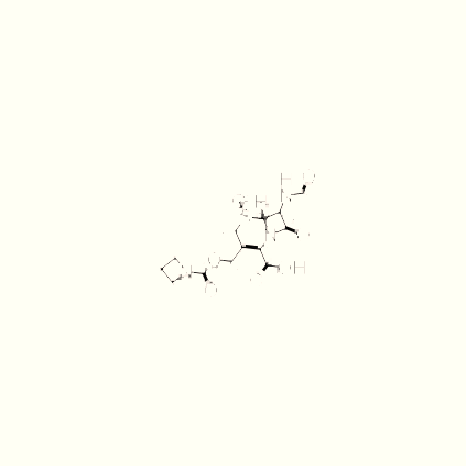 O=CNC1C(=O)N2C(C(=O)O)=C(COC(=O)N3CCC3)C[S+]([O-])[C@H]12